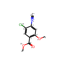 [C-]#[N+]c1cc(OC)c(C(=O)OC)cc1Cl